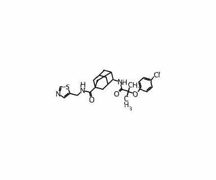 CC(C)(Oc1ccc(Cl)cc1)C(=O)NC1C2CC3CC1CC(C(=O)NCc1cncs1)(C3)C2